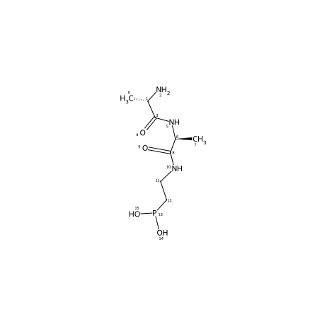 C[C@H](N)C(=O)N[C@@H](C)C(=O)NCCP(O)O